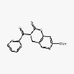 COc1ccc2c(c1)OC(=O)C(C(=O)c1ccccc1)C2